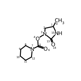 CC1CN(OC(=O)N2CCCCC2)C(=O)N1